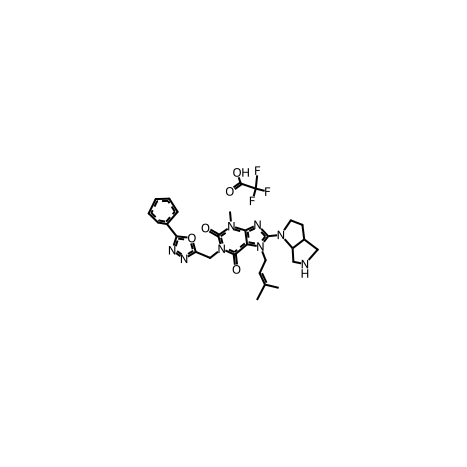 CC(C)=CCn1c(N2CCC3CNCC32)nc2c1c(=O)n(Cc1nnc(-c3ccccc3)o1)c(=O)n2C.O=C(O)C(F)(F)F